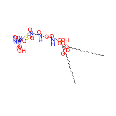 CCCCCCCCCCCCCCCCCC(=O)OC[C@H](COP(=O)(O)OCCNC(=O)COCCNC(=O)CCN1C(=O)CC(SCC(=O)N[C@@H](CSOOO)C(=O)NC)C1=O)OC(=O)CCCCCCCCCCCCCCCCC